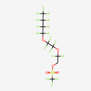 O=S(=O)(OCC(F)(F)OC(F)(F)C(F)(F)OC(F)(F)C(F)(F)C(F)(F)C(F)(F)F)C(F)(F)F